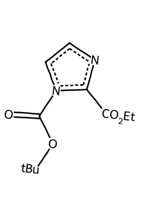 CCOC(=O)c1nccn1C(=O)OC(C)(C)C